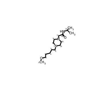 COCCCCCN1CCN(CC(=O)NC(C)C)CC1